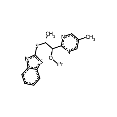 Cc1cnc([C@@H](OC(C)C)[C@@H](C)Sc2nc3ccccc3s2)nc1